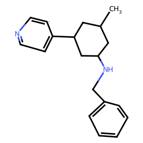 CC1CC(NCc2ccccc2)CC(c2[c]cncc2)C1